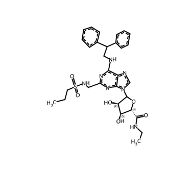 CCCS(=O)(=O)NCc1nc(NCC(c2ccccc2)c2ccccc2)c2ncn(C3O[C@H](C(=O)NCC)[C@@H](O)[C@H]3O)c2n1